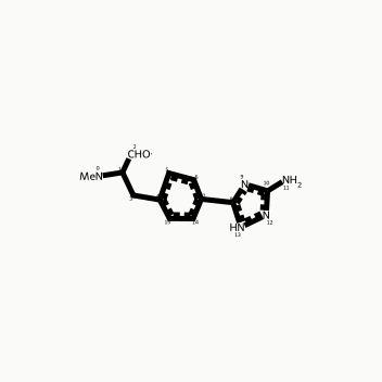 CNC([C]=O)Cc1ccc(-c2nc(N)n[nH]2)cc1